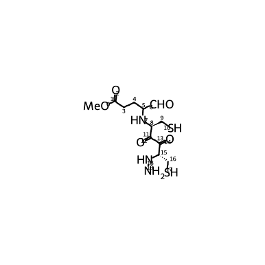 COC(=O)CCC(C=O)N[C@@H](CS)C(=O)C(=O)[C@H](CS)NN